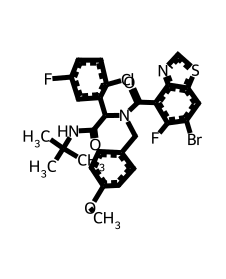 COc1ccc(CN(C(=O)c2c(F)c(Br)cc3scnc23)C(C(=O)NC(C)(C)C)c2cc(F)ccc2Cl)cc1